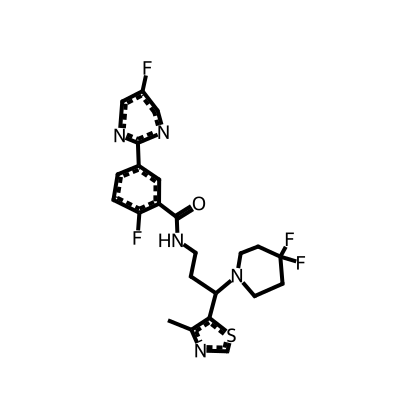 Cc1ncsc1C(CCNC(=O)c1cc(-c2ncc(F)cn2)ccc1F)N1CCC(F)(F)CC1